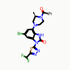 CC(C)C(=O)N1CCN(c2cc(Br)cc3c2[nH]c(=O)n3-c2nnc(C(F)F)s2)C[C@H]1C